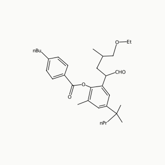 CCCCc1ccc(C(=O)Oc2c(C)cc(C(C)(C)CCC)cc2C(C=O)CC(C)COCC)cc1